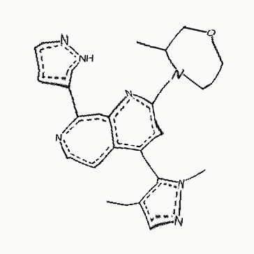 Cc1cnn(C)c1-c1cc(N2CCOCC2C)nc2c(-c3ccn[nH]3)nccc12